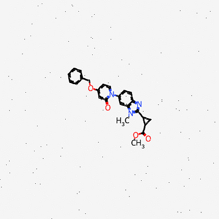 COC(=O)C1CC1c1nc2ccc(-n3ccc(OCc4ccccc4)cc3=O)cc2n1C